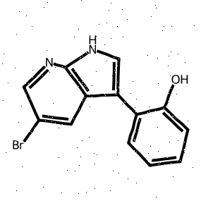 Oc1ccccc1-c1c[nH]c2ncc(Br)cc12